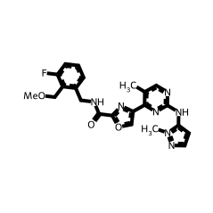 COCc1c(F)cccc1CNC(=O)c1nc(-c2nc(Nc3ccnn3C)ncc2C)co1